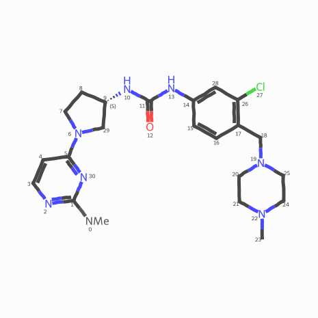 CNc1nccc(N2CC[C@H](NC(=O)Nc3ccc(CN4CCN(C)CC4)c(Cl)c3)C2)n1